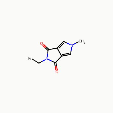 CC(C)CN1C(=O)c2cn(C)cc2C1=O